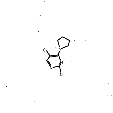 Clc1ncc(Cl)c(N2CCCC2)n1